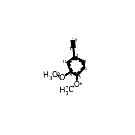 [C]#Cc1ccc(OC)c(OC)c1